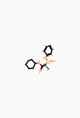 C[C@@H](C(=O)OC1CCCCC1)[PH](=O)Oc1ccccc1